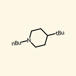 [CH2]CCCN1CCC(C(C)(C)C)CC1